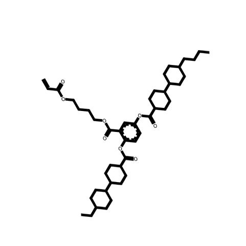 C=CC(=O)OCCCCOC(=O)c1cc(OC(=O)C2CCC(C3CCC(CCCC)CC3)CC2)ccc1OC(=O)C1CCC(C2CCC(CC)CC2)CC1